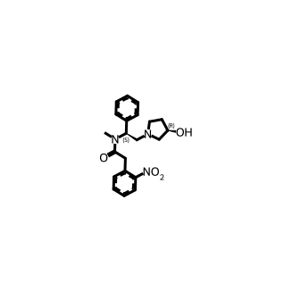 CN(C(=O)Cc1ccccc1[N+](=O)[O-])[C@H](CN1CC[C@@H](O)C1)c1ccccc1